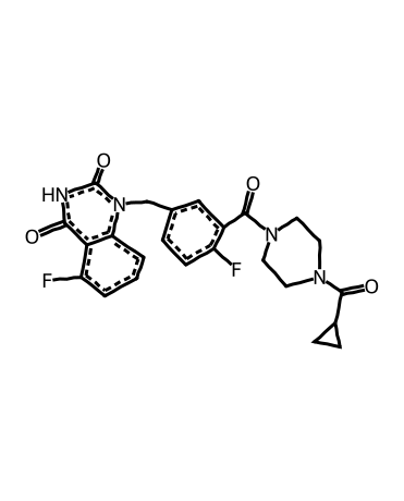 O=C(c1cc(Cn2c(=O)[nH]c(=O)c3c(F)cccc32)ccc1F)N1CCN(C(=O)C2CC2)CC1